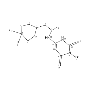 CC(CC1CCC(F)(F)CC1)Nc1cc(=O)n(C(C)C)c(=O)[nH]1